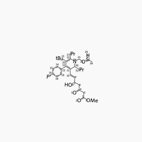 COC(=O)CC(=O)CC(O)/C=C/C1=C(c2ccc(F)cc2)C(C(C)(C)C)=C(C(C)C)N(CO[SiH](C)C)C1C(C)C